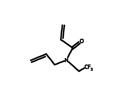 C=CCN(CC(F)(F)F)C(=O)C=C